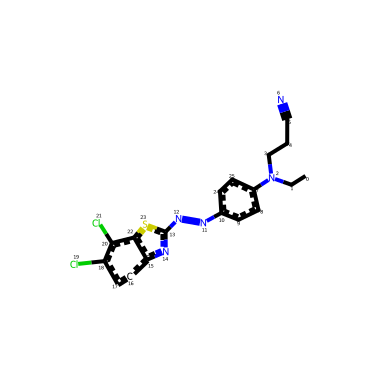 CCN(CCC#N)c1ccc(N=Nc2nc3ccc(Cl)c(Cl)c3s2)cc1